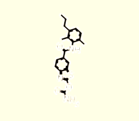 CCCc1ccc(C)c(NC(=O)c2ccc3nc(OC(N)=O)sc3c2)c1C